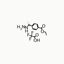 CCOC(=O)c1ccc([C@@H](C)NN)cc1.O=C(O)C(F)(F)F